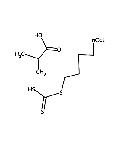 CC(C)C(=O)O.CCCCCCCCCCCCSC(=S)S